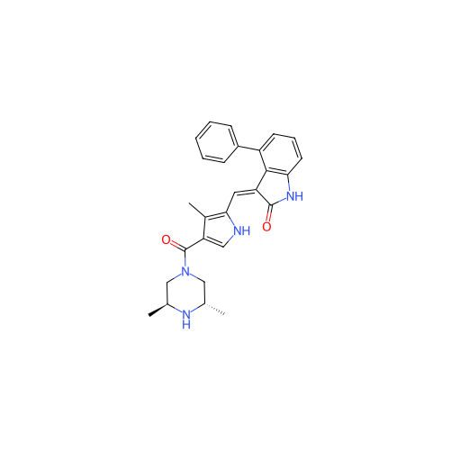 Cc1c(C(=O)N2C[C@H](C)N[C@@H](C)C2)c[nH]c1/C=C1\C(=O)Nc2cccc(-c3ccccc3)c21